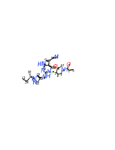 C=CC(=O)N1CC[C@@H](F)[C@H](Oc2nc(Nc3cnn(C(C)CC)c3)nc3[nH]cc(C#N)c23)C1